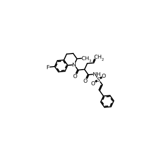 C=CCC(C(=O)NS(=O)(=O)C=Cc1ccccc1)C(=O)N1c2ccc(F)cc2CCC1C